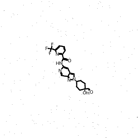 O=C[C@]1(O)CC[C@@H](n2cc3cc(NC(=O)c4cccc(C(F)(F)F)n4)ncc3n2)CC1